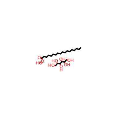 CCCCCCCCCCCCCCCCCC(=O)OO.OCC(O)C(O)C(O)C(O)CO